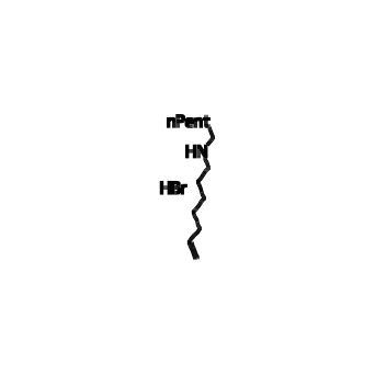 Br.C=CCCCCCNCCCCCC